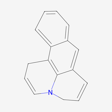 C1=CN2CC=Cc3cc4ccccc4c(c32)C1